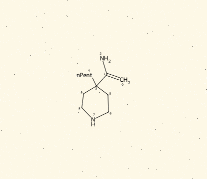 C=C(N)C1(CCCCC)CCNCC1